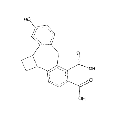 O=C(O)c1ccc2c(c1C(=O)O)Cc1ccc(O)cc1C1CCC21